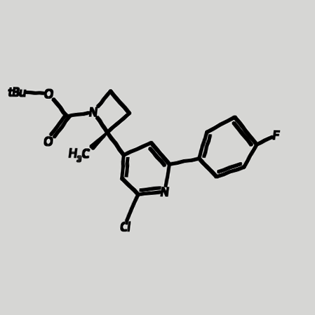 CC(C)(C)OC(=O)N1CC[C@]1(C)c1cc(Cl)nc(-c2ccc(F)cc2)c1